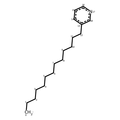 [CH2]CCCCCCCCCCCCc1cccnc1